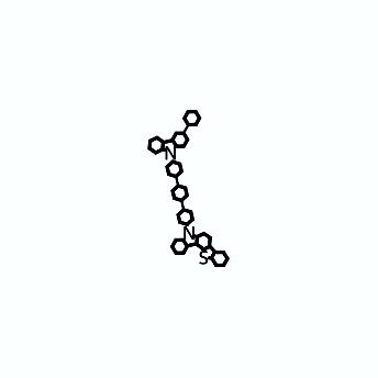 c1ccc(-c2ccc3c(c2)c2ccccc2n3-c2ccc(-c3ccc(-c4ccc(-n5c6ccccc6c6c7sc8ccccc8c7ccc65)cc4)cc3)cc2)cc1